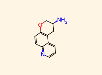 N[C@@H]1COc2ccc3ncccc3c2C1